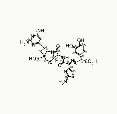 Nc1cc(SCC2(C(=O)O)CS[C@@H]3C(NC(=O)C(=NO[C@@H](C(=O)O)c4ccc(O)c(O)c4)c4csc(N)n4)C(=O)N3C2)nc(N)n1